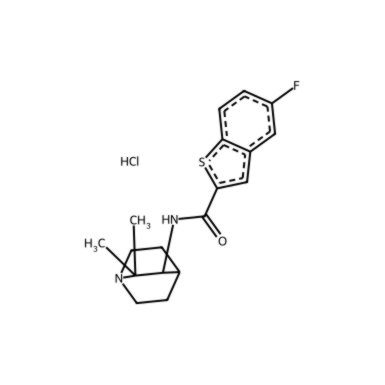 CC1(C)C(NC(=O)c2cc3cc(F)ccc3s2)C2CCN1CC2.Cl